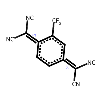 [C-]#[N+]/C(C#N)=c1/cc/c(=C(\C#N)[N+]#[C-])c(C(F)(F)F)c1